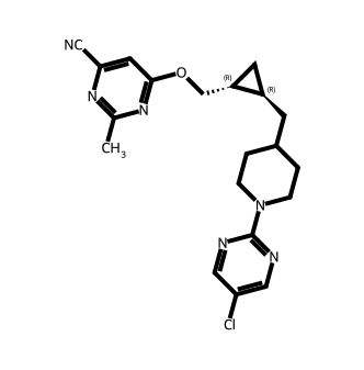 Cc1nc(C#N)cc(OC[C@@H]2C[C@H]2CC2CCN(c3ncc(Cl)cn3)CC2)n1